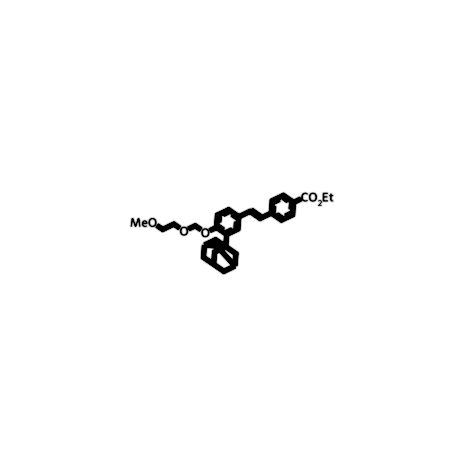 CCOC(=O)c1ccc(C=Cc2ccc(OCOCCOC)c(C34CC5CC(CC(C5)C3)C4)c2)cc1